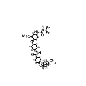 CCC(CC)NC(=O)Nc1ccc(Oc2ccc(NC(=O)c3ccc(O[C@H]4CC5CCC4CN5C)cc3)cc2)c(OC)c1